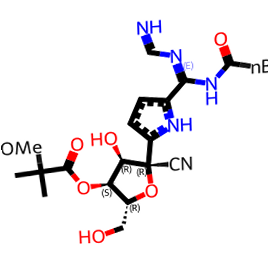 CCCCC(=O)N/C(=N/C=N)c1ccc([C@]2(C#N)O[C@H](CO)[C@@H](OC(=O)C(C)(C)OC)[C@H]2O)[nH]1